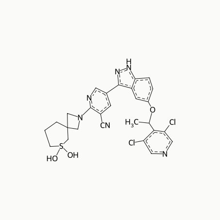 CC(Oc1ccc2[nH]nc(-c3cnc(N4CC5(CCCS(O)(O)C5)C4)c(C#N)c3)c2c1)c1c(Cl)cncc1Cl